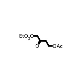 CCOC(=O)CC(=O)CCOC(C)=O